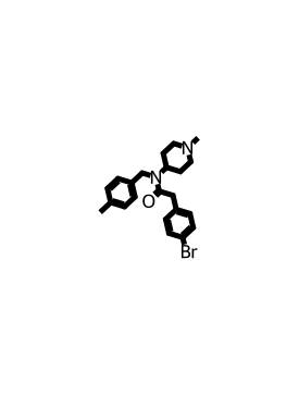 Cc1ccc(CN(C(=O)Cc2ccc(Br)cc2)C2CCN(C)CC2)cc1